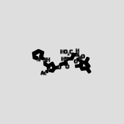 CC(=O)N1CC(OCC(=O)NCC(NS(=O)(=O)c2c(C)cc(C)cc2C)C(=O)O)CC1CNc1ccccn1